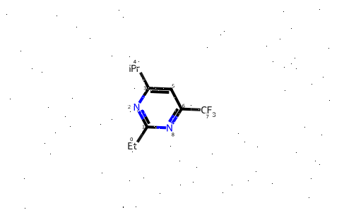 CCc1nc(C(C)C)cc(C(F)(F)F)n1